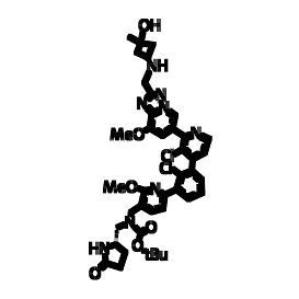 COc1nc(-c2cccc(-c3ccnc(-c4cc(OC)c5nc(CNC6CC(C)(O)C6)nn5c4)c3Cl)c2Cl)ccc1CN(C[C@@H]1CCC(=O)N1)C(=O)OC(C)(C)C